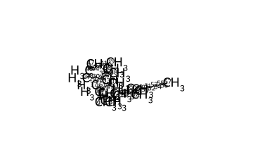 CCC(C)CC(C)(C)CC.CCCCC(C)CC.CCCCCC(C)(C)C.CCCCCC(C)CC(C)CC.CCCCCCC(C)C.CCCCCCCCCC